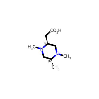 C[C@@H]1CN(C)[C@@H](CC(=O)O)CN1C